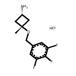 C[C@]1(OCc2cc(F)c(F)c(F)c2)C[C@@H](N)C1.Cl